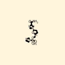 NC(=O)c1ncn([C@H]2CC[C@@H](COP(=O)(O)n3ccnc3)O2)n1